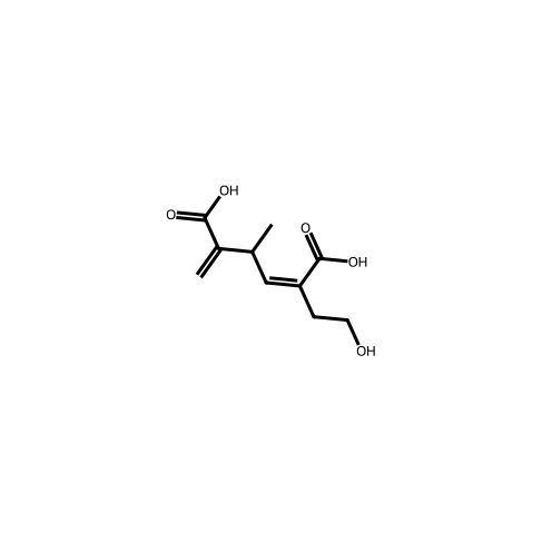 C=C(C(=O)O)C(C)C=C(CCO)C(=O)O